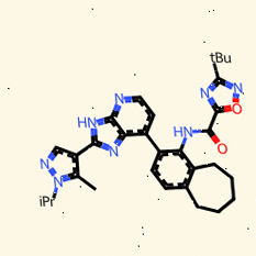 Cc1c(-c2nc3c(-c4ccc5c(c4NC(=O)c4nc(C(C)(C)C)no4)CCCCC5)ccnc3[nH]2)cnn1C(C)C